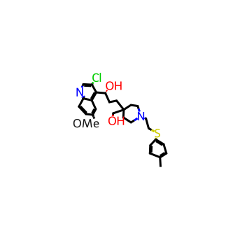 COc1ccc2ncc(Cl)c([C@H](O)CCC3(CO)CCN(CCSc4ccc(C)cc4)CC3)c2c1